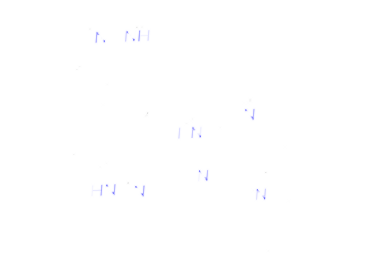 c1cc(N2CCCCC2)c2nc(-c3n[nH]c4ccc(-c5cn[nH]c5)cc34)[nH]c2n1